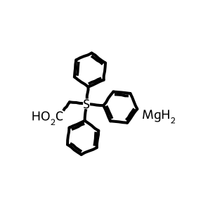 O=C(O)CS(c1ccccc1)(c1ccccc1)c1ccccc1.[MgH2]